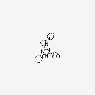 CC1CCN(c2cccc(-c3nc(N4CCCCCC4)nc(N4CCOCC4)n3)n2)CC1